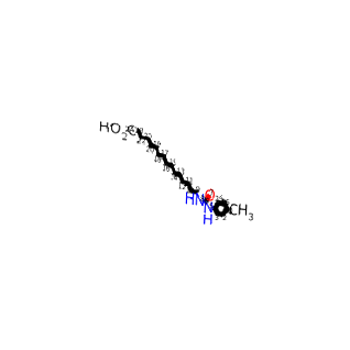 Cc1ccc(NC(=O)NCCCCCCCCCCCCCCCC(=O)O)cc1